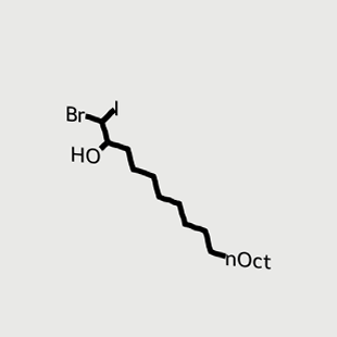 CCCCCCCCCCCCCCCCC(O)C(Br)I